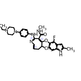 CCN1CCN(c2ccc(NC3=N/C=C/CC(C)/C(Oc4ccc5[nH]c(C)cc5c4F)=C\3C(=O)NC)cc2)CC1